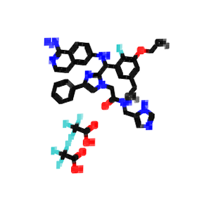 CCOc1cc(CC)cc(C(Nc2ccc3c(N)nccc3c2)c2nc(-c3ccccc3)cn2CC(=O)NCc2cnc[nH]2)c1F.O=C(O)C(F)(F)F.O=C(O)C(F)(F)F